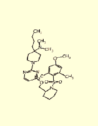 CCCCC1(N(C)C)CCN(c2nccc(OCC3CCCCN3S(=O)(=O)c3c(C)cc(OC)cc3C)n2)CC1